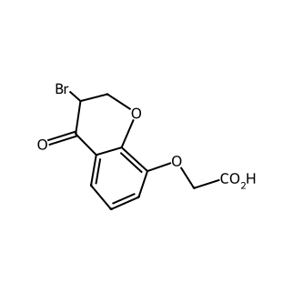 O=C(O)COc1cccc2c1OCC(Br)C2=O